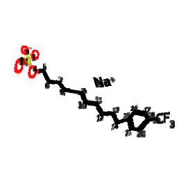 O=S(=O)([O-])OCCCCCCCCCCc1ccc(C(F)(F)F)cc1.[Na+]